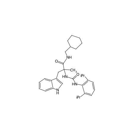 CC(C)c1cccc(C(C)C)c1NC(=O)NC(C)(Cc1c[nH]c2ccccc12)C(=O)NCC1CCCCC1